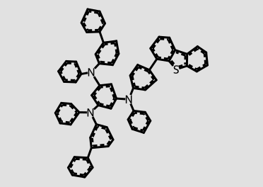 c1ccc(-c2cccc(N(c3ccccc3)c3cc(N(c4ccccc4)c4ccc(-c5cccc6c5sc5ccccc56)cc4)cc(N(c4ccccc4)c4cccc(-c5ccccc5)c4)c3)c2)cc1